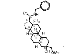 CC[C@@H](NCc1ccccc1)[C@H]1CC[C@H]2[C@@H]3CC[C@@H]4C[C@@](O)(COC)CC[C@@H]4[C@H]3CC[C@]12C